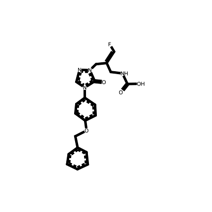 O=C(O)NC/C(=C/F)Cn1ncn(-c2ccc(OCc3ccccc3)cc2)c1=O